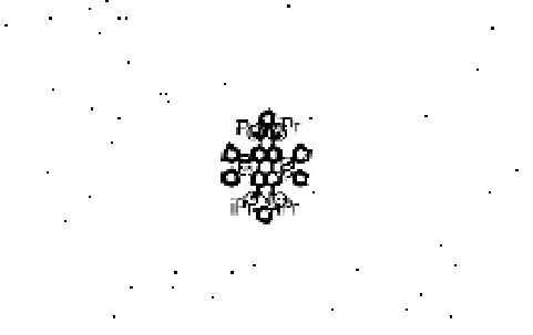 CC(C)c1cccc(C(C)C)c1N1C(=O)C2=CC(Oc3ccccc3)=C3c4c(Oc5ccccc5)cc5c6c(cc(Oc7ccccc7)c(c46)C4C(Oc6ccccc6)=CC(=C2C34)C1=O)C(=O)N(c1c(C(C)C)cccc1C(C)C)C5=O